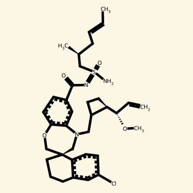 C=C[C@H](OC)[C@@H]1CCC1CN1C[C@@]2(CCCc3cc(Cl)ccc32)COc2ccc(C(=O)N=S(N)(=O)C[C@@H](C)C/C=C/C)cc21